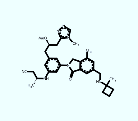 CO[C@H](Cc1cc(N[C@H](C)CC#N)cc(N2Cc3c(cc(CNC4(C)CCC4)cc3C(F)(F)F)C2=O)c1)Cc1nncn1C